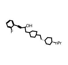 CCC[C@H]1CC[C@H](CCC2CCC(CC(O)C#Cc3ccccc3F)CC2)CC1